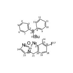 CC(C)(C)B(c1ccccc1)c1ccccc1.Cc1c(F)ccc(Cn2ccnc2)c1[N+](=O)[O-]